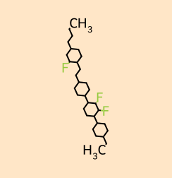 CCCCC1CCC(CCC2CCC(C3CCC(C4CCC(CC)CC4)C(F)[C@H]3F)CC2)C(F)C1